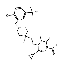 CC1C(F)=C(C(=O)Cl)C=C(C2CC2)C1OCC1(F)CCN(Cc2cc(C(F)(F)F)ccc2Cl)CC1